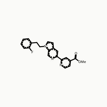 COC(=O)c1ccnc(-c2cc3ccn(CCc4ccccc4F)c3cn2)c1